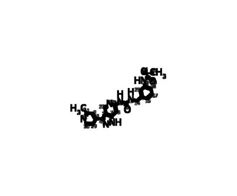 Cc1cc(-c2n[nH]c3cc(NC(=O)NCc4cccc(NS(C)(=O)=O)c4)ncc23)ccn1